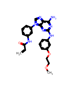 C=CC(=O)Nc1cccc(-n2cnc3c(N)nc(Nc4cccc(OCCOC)c4)nc32)c1